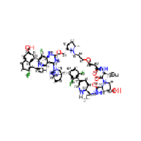 C#Cc1c(F)ccc2cc(O)cc(-c3ncc4c(N5CC6CCC(C5)N6)nc(OC[C@@H]5CCCN5CCCOCCC(=O)N[C@H](C(=O)N5C[C@H](O)C[C@H]5C(=O)N[C@@H](C)c5ccc(-c6c(F)cccc6F)cn5)C(C)(C)C)nc4c3F)c12